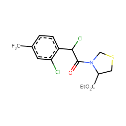 CCOC(=O)C1CSCN1C(=O)C(Cl)c1ccc(C(F)(F)F)cc1Cl